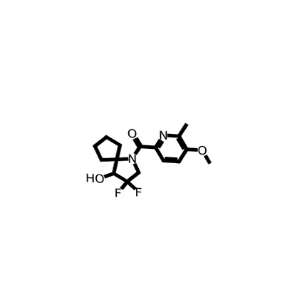 COc1ccc(C(=O)N2CC(F)(F)C(O)C23CCCC3)nc1C